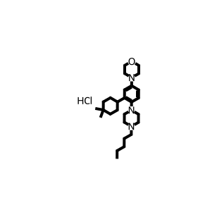 CCCCCN1CCN(c2ccc(N3CCOCC3)cc2C2CCC(C)(C)CC2)CC1.Cl